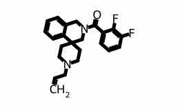 C=CCN1CCC2(CC1)CN(C(=O)c1cccc(F)c1F)Cc1ccccc12